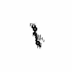 N[C@@H](CNc1ncc(-c2ccc3cnc(F)cc3c2)s1)Cc1ccc(C(F)(F)F)cc1